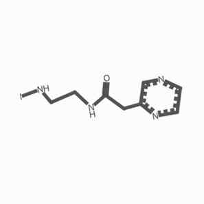 O=C(Cc1cnccn1)NCCNI